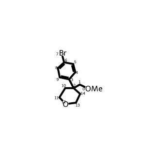 COCC1(c2ccc(Br)cc2)CCOCC1